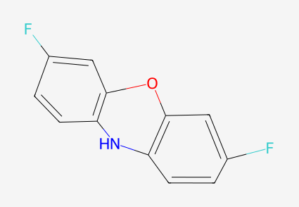 Fc1ccc2c(c1)Oc1cc(F)ccc1N2